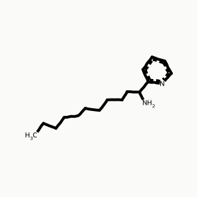 CCCCCCCCCCC(N)c1ccccn1